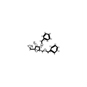 N#CCC1O[C@H](COCc2ccccc2)[C@@H](OCc2ccccc2)[C@H]1F